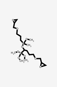 CO[Si](C)(CCCOCC1CO1)OC(CCCOCC1CO1)[Si](OC)(OC)OC